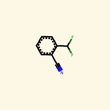 N#Cc1ccccc1C(F)F